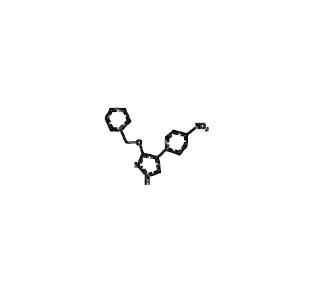 O=[N+]([O-])c1ccc(-c2c[nH]nc2OCc2ccccc2)cc1